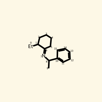 CCC1CCCCC1=NC(C)c1ccccc1